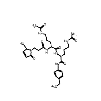 CC(=O)OCc1ccc(NC(=O)[C@H](CCCNC(N)=O)NC(=O)[C@H](CCCNC(N)=O)NC(=O)CCN2C(=O)C=CC2O)cc1